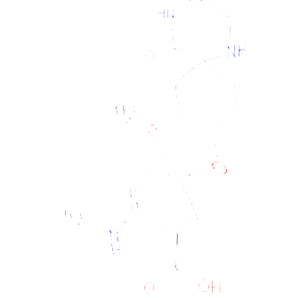 CNc1cc(OC)c(OC2CCC3(CC2)NCCNC3=O)cc1C(=O)O